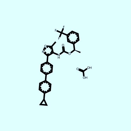 Cc1onc(-c2ccc(-c3ccc(C4CC4)cc3)cc2)c1NC(=O)O[C@H](C)c1cccc(C(F)(F)F)c1.O=C(O)O